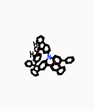 CC1(C)c2ccccc2-c2ccc(N(c3ccc(-c4ccccc4)cc3)c3cc4c(cc3-c3ccc5ccccc5c3)-c3ccccc3C4(c3ccccc3)c3ccccc3)cc21